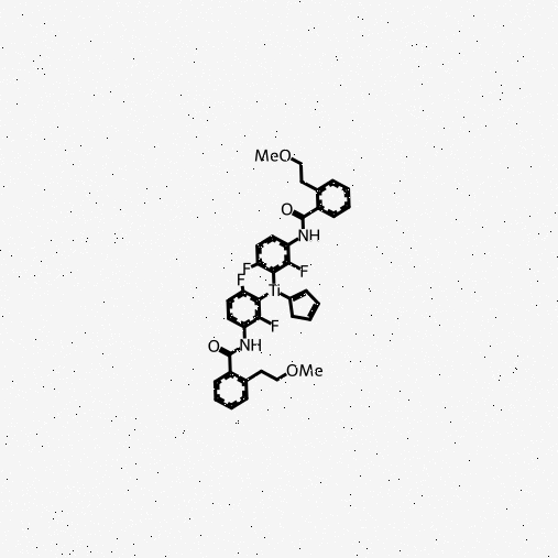 COCCc1ccccc1C(=O)Nc1ccc(F)[c]([Ti]([C]2=CC=CC2)[c]2c(F)ccc(NC(=O)c3ccccc3CCOC)c2F)c1F